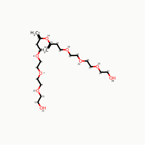 C=C(CCOCCOCCOCCO)OC(=C)CCOCCOCCOCCO